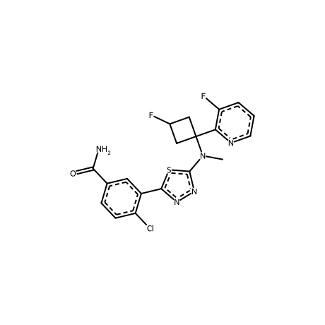 CN(c1nnc(-c2cc(C(N)=O)ccc2Cl)s1)C1(c2ncccc2F)CC(F)C1